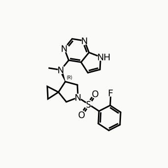 CN(c1ncnc2[nH]ccc12)[C@H]1CN(S(=O)(=O)c2ccccc2F)CC12CC2